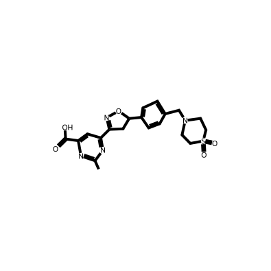 Cc1nc(C(=O)O)cc(C2=NOC(c3ccc(CN4CCS(=O)(=O)CC4)cc3)C2)n1